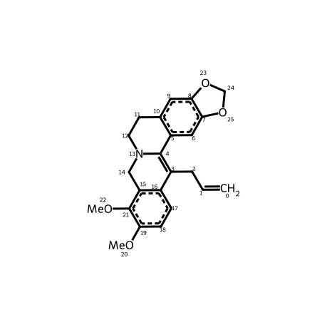 C=CCC1=C2c3cc4c(cc3CCN2Cc2c1ccc(OC)c2OC)OCO4